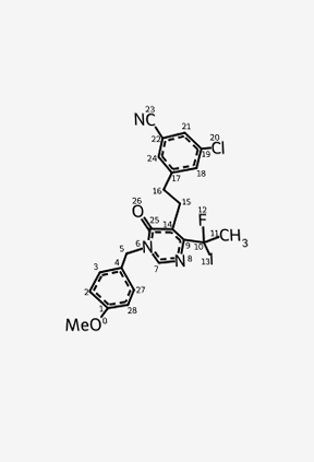 COc1ccc(Cn2cnc(C(C)(F)I)c(CCc3cc(Cl)cc(C#N)c3)c2=O)cc1